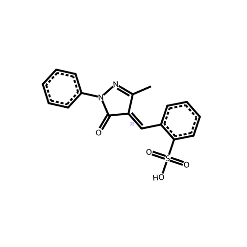 CC1=NN(c2ccccc2)C(=O)/C1=C/c1ccccc1S(=O)(=O)O